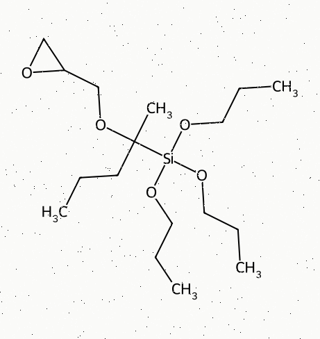 CCCO[Si](OCCC)(OCCC)C(C)(CCC)OCC1CO1